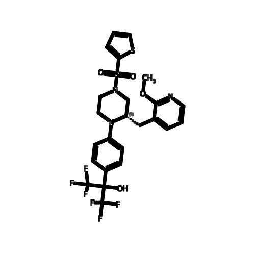 COc1ncccc1C[C@H]1CN(S(=O)(=O)c2cccs2)CCN1c1ccc(C(O)(C(F)(F)F)C(F)(F)F)cc1